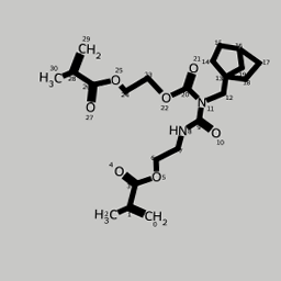 C=C(C)C(=O)OCCNC(=O)N(CC12CCC(CC1)C2)C(=O)OCCOC(=O)C(=C)C